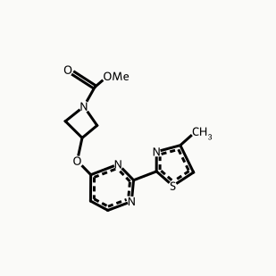 COC(=O)N1CC(Oc2ccnc(-c3nc(C)cs3)n2)C1